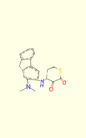 CN(C)c1cc2c(cc1NC1CCSC(=O)C1=O)-c1ccccc1C2